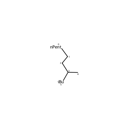 CCCCCCCC(C)[C](C)CC